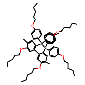 CCCCCOc1ccc([Si]2(c3ccc(C)cc3)c3cc(C)c(OCCCCC)cc3-c3cc(OCCCCC)c(C)cc3[Si]2(c2ccc(OCCCCC)cc2)c2ccc(OCCCCC)cc2)cc1